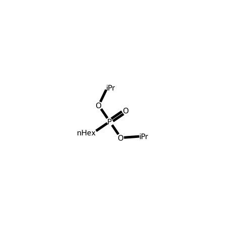 CCCCCCP(=O)(OC(C)C)OC(C)C